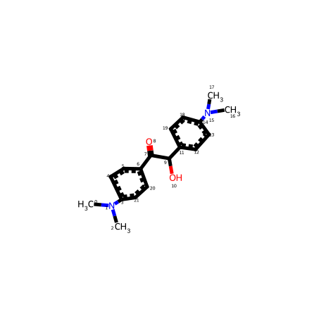 CN(C)c1ccc(C(=O)C(O)c2ccc(N(C)C)cc2)cc1